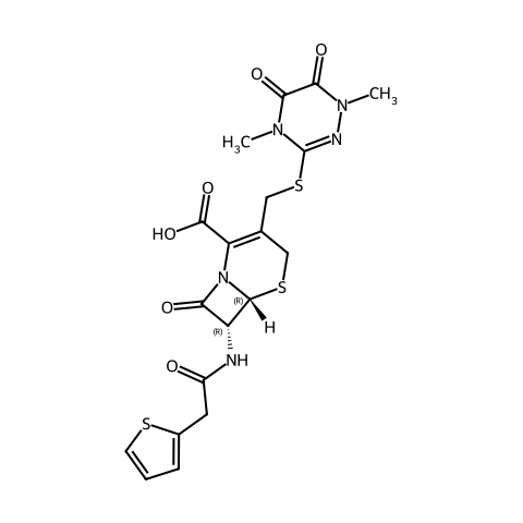 Cn1nc(SCC2=C(C(=O)O)N3C(=O)[C@@H](NC(=O)Cc4cccs4)[C@H]3SC2)n(C)c(=O)c1=O